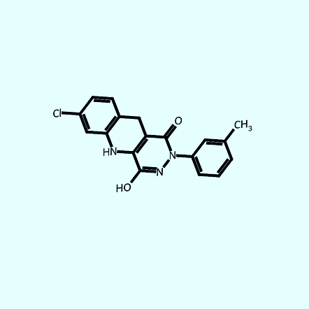 Cc1cccc(-n2nc(O)c3c(c2=O)Cc2ccc(Cl)cc2N3)c1